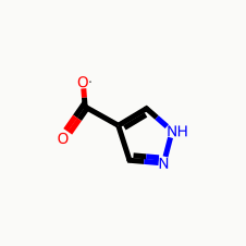 [O]C(=O)c1cn[nH]c1